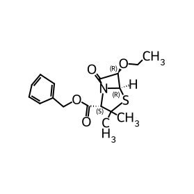 CCO[C@@H]1C(=O)N2[C@@H]1SC(C)(C)[C@@H]2C(=O)OCc1ccccc1